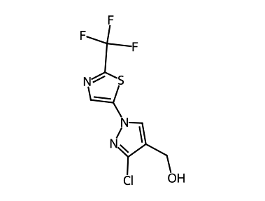 OCc1cn(-c2cnc(C(F)(F)F)s2)nc1Cl